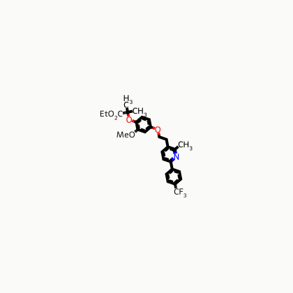 CCOC(=O)C(C)(C)Oc1ccc(OCCc2ccc(-c3ccc(C(F)(F)F)cc3)nc2C)cc1OC